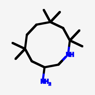 CC1(C)CCC(C)(C)CC(C)(C)NCC(N)C1